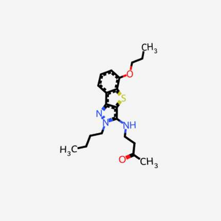 CCCCn1nc2c(sc3c(OCCC)cccc32)c1NCCC(C)=O